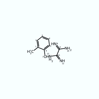 Cc1ccccc1O.N=C(N)C(=N)N